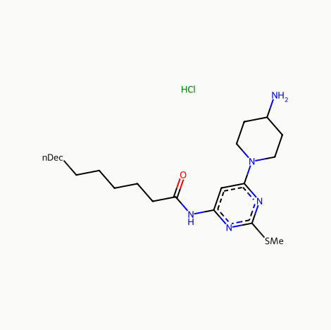 CCCCCCCCCCCCCCCC(=O)Nc1cc(N2CCC(N)CC2)nc(SC)n1.Cl